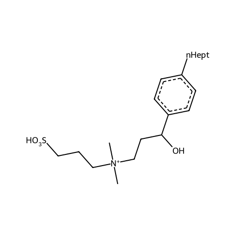 CCCCCCCc1ccc(C(O)CC[N+](C)(C)CCCS(=O)(=O)O)cc1